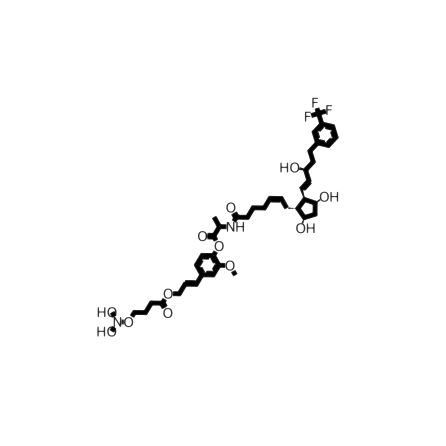 COc1cc(/C=C/COC(=O)CCCON(O)O)ccc1OC(=O)C(C)NC(=O)CCC/C=C\C[C@@H]1[C@@H](/C=C/[C@@H](O)CCc2cccc(C(F)(F)F)c2)[C@H](O)C[C@@H]1O